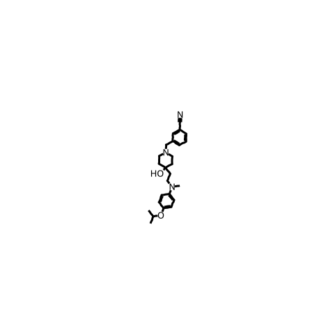 CC(C)Oc1ccc(N(C)CCC2(O)CCN(Cc3cccc(C#N)c3)CC2)cc1